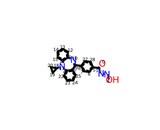 O=C(N=NO)c1ccc(C2=Nc3ccccc3N(C3CC3)c3ccccc32)cc1